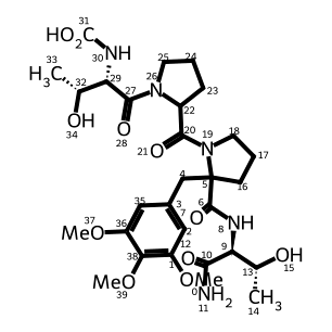 COc1cc(CC2(C(=O)N[C@H](C(N)=O)[C@@H](C)O)CCCN2C(=O)C2CCCN2C(=O)[C@@H](NC(=O)O)[C@@H](C)O)cc(OC)c1OC